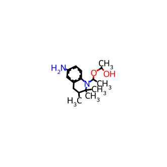 CC(O)OC(C)N1c2ccc(N)cc2CC(C)C1(C)C